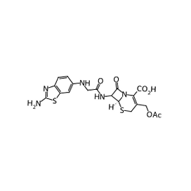 CC(=O)OCC1=C(C(=O)O)N2C(=O)C(NC(=O)CNc3ccc4nc(N)sc4c3)[C@@H]2SC1